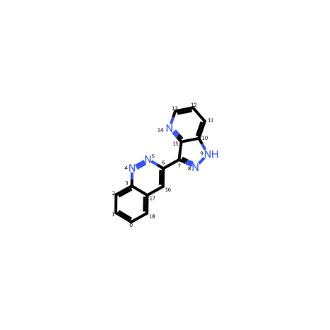 c1ccc2nnc(-c3n[nH]c4cccnc34)cc2c1